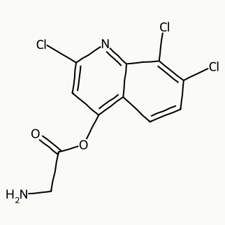 NCC(=O)Oc1cc(Cl)nc2c(Cl)c(Cl)ccc12